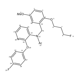 COc1ccc(OCCCF)c(CN(C(C)=O)c2cccnc2Oc2ccc(F)cc2)c1